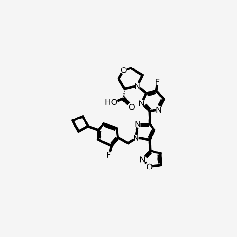 O=C(O)[C@@H]1COCCN1c1nc(-c2cc(-c3ccon3)n(Cc3ccc(C4CCC4)cc3F)n2)ncc1F